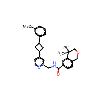 COc1cccc(C2CC(c3ccnc(CNC(=O)c4ccc5c(c4)C(C)(C#N)COC5)c3)C2)c1